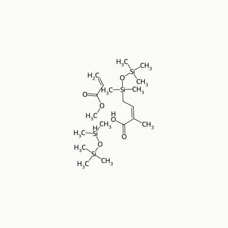 C=CC(=O)OC.CC(=CC[Si](C)(C)O[Si](C)(C)C)C(=O)O.C[SiH](C)O[Si](C)(C)C